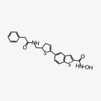 O=C(Cc1ccccc1)NCC1CC=C(c2ccc3sc(C(=O)NO)cc3c2)S1